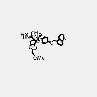 COCCC1OC2CC(NS(=O)(=O)c3ccc(OCc4cccc5ncccc45)cc3)(C(=O)NO)CC2O1